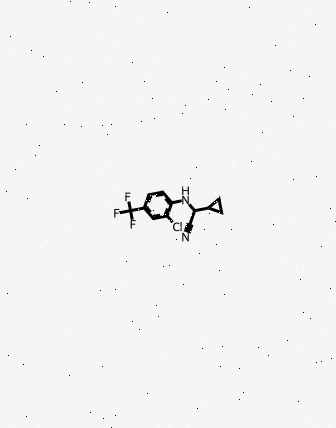 N#CC(Nc1ccc(C(F)(F)F)cc1Cl)C1CC1